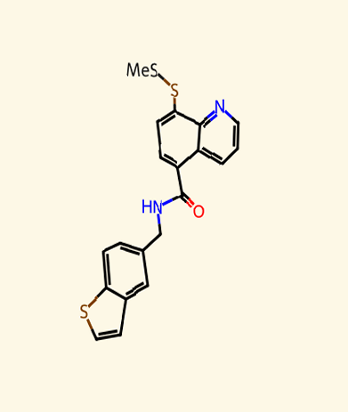 CSSc1ccc(C(=O)NCc2ccc3sccc3c2)c2cccnc12